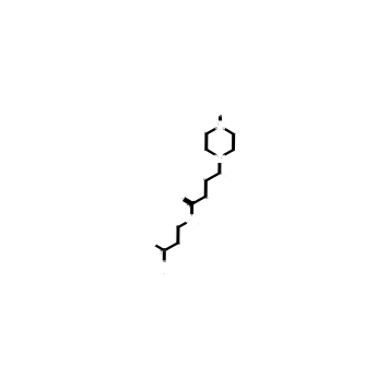 CC(C)CCOC(=O)CCCN1CCN(C)CC1